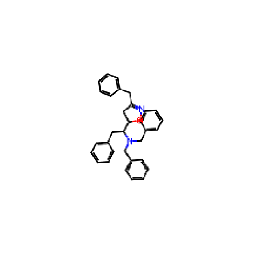 c1ccc(CC2=NOC(C(Cc3ccccc3)N(Cc3ccccc3)Cc3ccccc3)C2)cc1